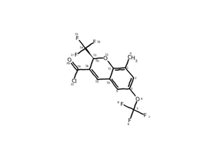 Cc1cc(OC(F)(F)F)cc2c1O[C@H](C(F)(F)F)C(C(=O)Cl)=C2